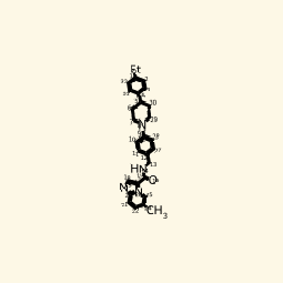 CCc1ccc(C2CCN(c3ccc(CNC(=O)c4cnc5ccc(C)cn45)cc3)CC2)cc1